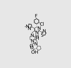 Cn1ccc(C2=C(CN3CCN4C(=O)N([C@@H]5CCC[C@H]5C(=O)O)C[C@@H]4C3)NC(c3nccs3)=N[C@H]2c2ccc(F)cc2Cl)n1